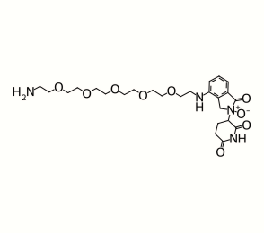 NCCOCCOCCOCCOCCOCCNc1cccc2c1C[N+]([O-])(C1CCC(=O)NC1=O)C2=O